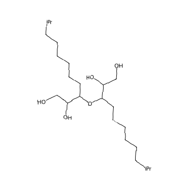 CC(C)CCCCCCC(OC(CCCCCCC(C)C)C(O)CO)C(O)CO